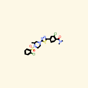 CC1CN(c2nnc(-c3ccc(C(=O)N(C)C)c(Cl)c3)s2)CCN1S(=O)(=O)c1ccccc1Cl